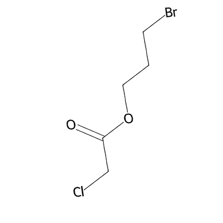 O=C(CCl)OCCCBr